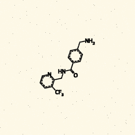 NCc1ccc(C(=O)NCc2ncccc2C(F)(F)F)cc1